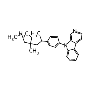 CCCC(C)(CC)CC(C)c1ccc(-n2c3ccccc3c3ccncc32)cc1